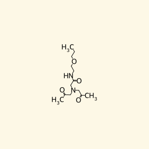 CCCOCCNC(=O)CN(CC(C)=O)CC(C)=O